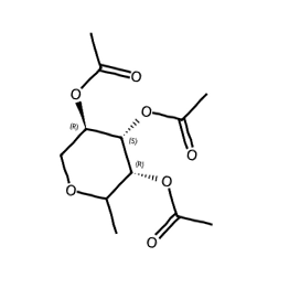 CC(=O)O[C@@H]1[C@H](OC(C)=O)C(C)OC[C@H]1OC(C)=O